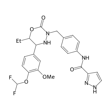 CCC1OC(=O)N(Cc2ccc(NC(=O)c3cc[nH]n3)cc2)NC1c1ccc(OC(F)F)c(OC)c1